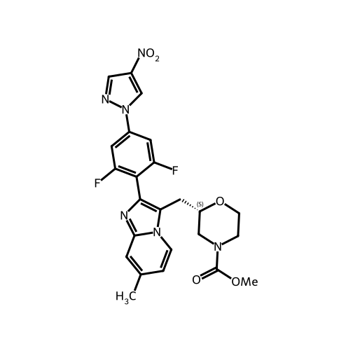 COC(=O)N1CCO[C@@H](Cc2c(-c3c(F)cc(-n4cc([N+](=O)[O-])cn4)cc3F)nc3cc(C)ccn23)C1